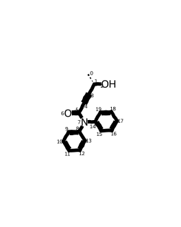 C[C@H](O)C#CC(=O)N(c1ccccc1)c1ccccc1